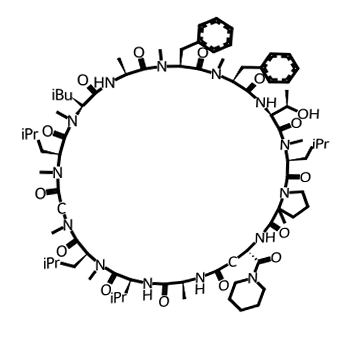 CC[C@H](C)[C@H]1C(=O)N[C@@H](C)C(=O)N(C)[C@@H](Cc2ccccc2)C(=O)N(C)[C@@H](Cc2ccccc2)C(=O)N[C@@H]([C@@H](C)O)C(=O)N(C)[C@@H](CC(C)C)C(=O)N2CCCC2(C)C(=O)N[C@H](C(=O)N2CCCCC2)CC(=O)N[C@@H](C)C(=O)N[C@@H](C(C)C)C(=O)N(C)[C@@H](CC(C)C)C(=O)N(C)CC(=O)N(C)[C@@H](CC(C)C)C(=O)N1C